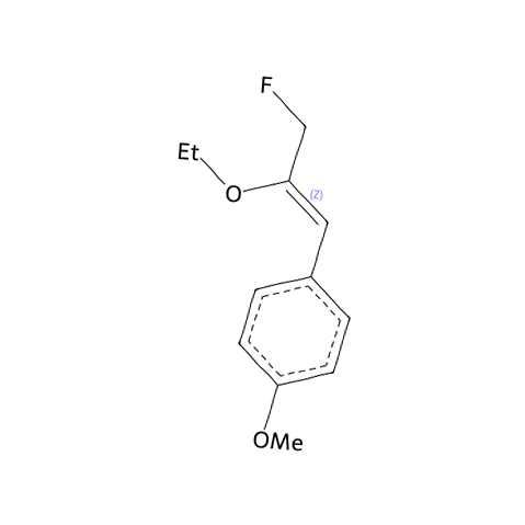 CCO/C(=C\c1ccc(OC)cc1)CF